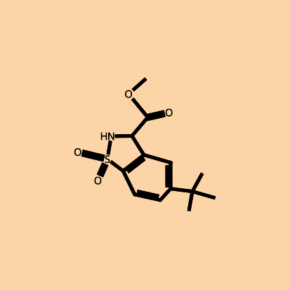 COC(=O)C1NS(=O)(=O)c2ccc(C(C)(C)C)cc21